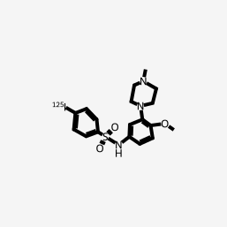 COc1ccc(NS(=O)(=O)c2ccc([125I])cc2)cc1N1CCN(C)CC1